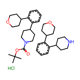 CC(C)(C)OC(=O)N1CCC(c2ccccc2C2CCOCC2)CC1.Cl.c1ccc(C2CCOCC2)c(C2CCNCC2)c1